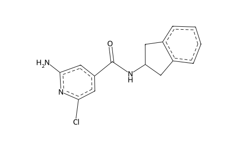 Nc1cc(C(=O)NC2Cc3ccccc3C2)cc(Cl)n1